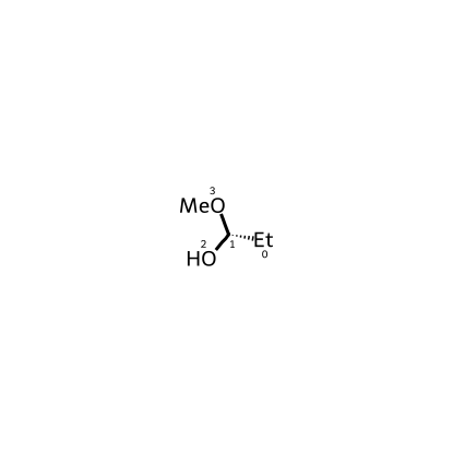 CC[C@H](O)OC